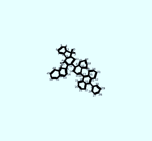 CC1(C)c2ccccc2-c2c1cc(-c1ccc(-c3c4ccccc4c(-c4ccccc4)c4ccccc34)c3ccccc13)c1c2sc2c3ccccc3ccc21